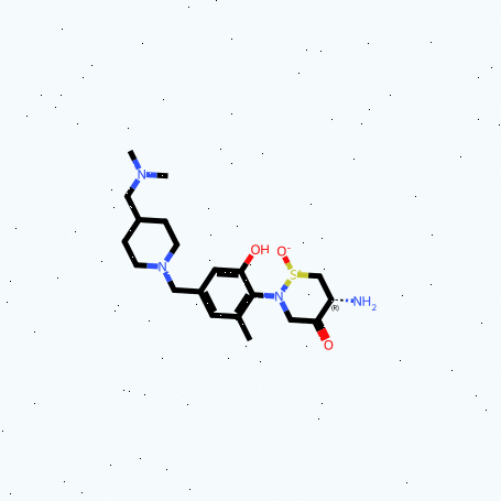 Cc1cc(CN2CCC(CN(C)C)CC2)cc(O)c1N1CC(=O)[C@@H](N)C[S+]1[O-]